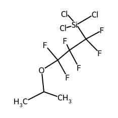 CC(C)OC(F)(F)C(F)(F)C(F)(F)[Si](Cl)(Cl)Cl